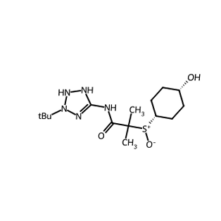 CC(C)(C)N1N=C(NC(=O)C(C)(C)[S+]([O-])[C@H]2CC[C@@H](O)CC2)NN1